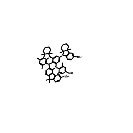 Cc1cc(C)c2c3c1B1c4ccc5c(c4N(c4c(C)cc(C(C)(C)C)cc4C)c4cc(N6c7ccc(C(C)(C)C)cc7C7(C)CCCCC67C)cc(c41)N3C1(C)CCCCC21C)-c1cc(C(C)(C)C)ccc1C5(C)C